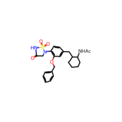 CC(=O)NC1CCCCC1Cc1ccc(N2CC(=O)NS2(=O)=O)c(OCc2ccccc2)c1